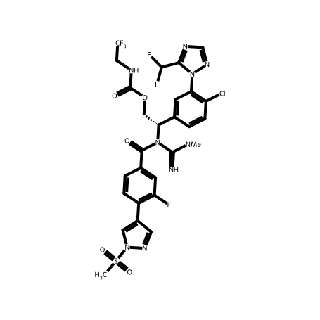 CNC(=N)N(C(=O)c1ccc(-c2cnn(S(C)(=O)=O)c2)c(F)c1)[C@H](COC(=O)NCC(F)(F)F)c1ccc(Cl)c(-n2ncnc2C(F)F)c1